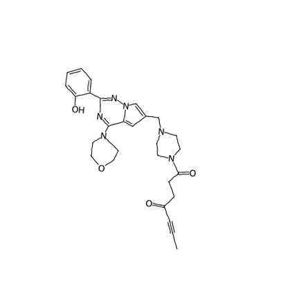 CC#CC(=O)CCC(=O)N1CCN(Cc2cc3c(N4CCOCC4)nc(-c4ccccc4O)nn3c2)CC1